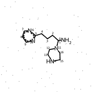 NC(CCCc1ncccn1)N1CCNCC1